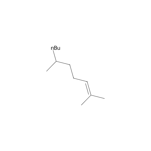 CC[CH]CC(C)CCC=C(C)C